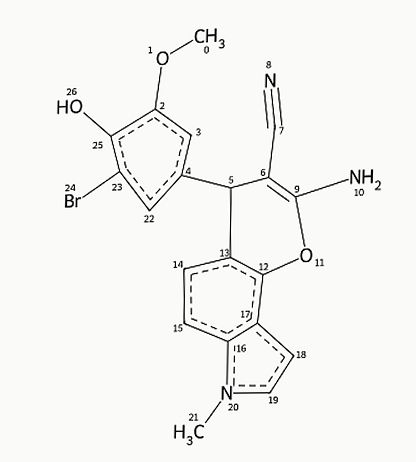 COc1cc(C2C(C#N)=C(N)Oc3c2ccc2c3ccn2C)cc(Br)c1O